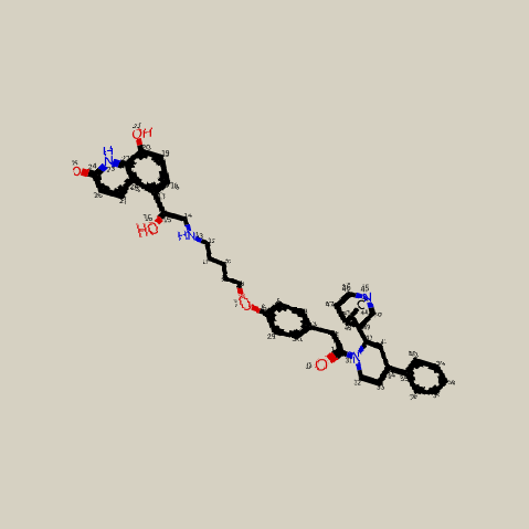 O=C(Cc1ccc(OCCCCCNCC(O)c2ccc(O)c3[nH]c(=O)ccc23)cc1)N1CCC(c2ccccc2)CC1C1CN2CCC1CC2